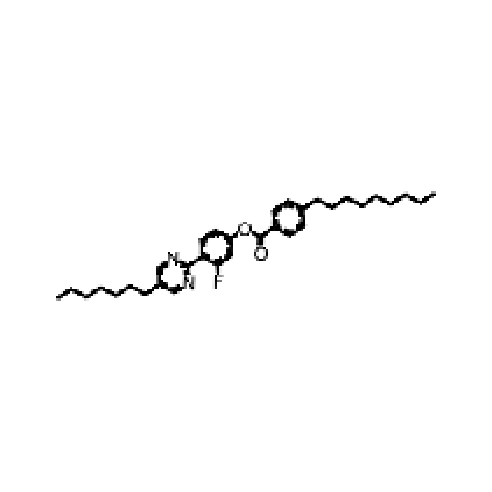 CCCCCCCCCc1ccc(C(=O)Oc2ccc(-c3ncc(CCCCCCC)cn3)c(F)c2)cc1